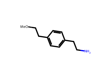 COCCc1ccc(CCN)cc1